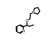 CCC(OCCN1CCCC1)c1ccccn1